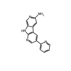 Nc1cc2c(cn1)[nH]c1ncc(-c3ccccn3)cc12